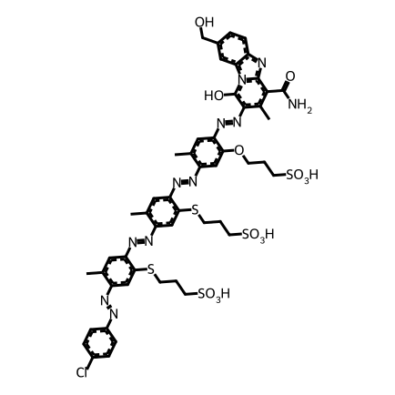 Cc1cc(N=Nc2cc(SCCCS(=O)(=O)O)c(N=Nc3cc(OCCCS(=O)(=O)O)c(N=Nc4c(C)c(C(N)=O)c5nc6ccc(CO)cc6n5c4O)cc3C)cc2C)c(SCCCS(=O)(=O)O)cc1N=Nc1ccc(Cl)cc1